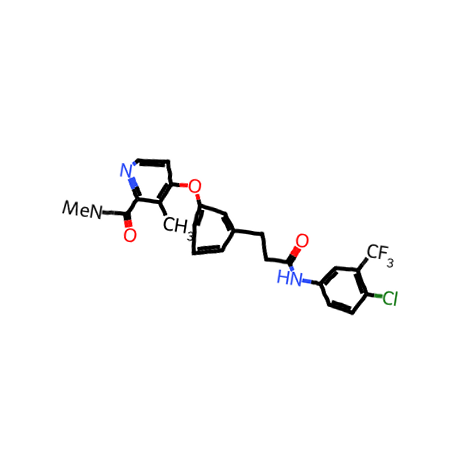 CNC(=O)c1nccc(Oc2cccc(CCC(=O)Nc3ccc(Cl)c(C(F)(F)F)c3)c2)c1C